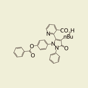 CCCCc1c(-c2ncccc2C(=O)O)n(-c2ccc(OC(=O)c3ccccc3)cc2)n(-c2ccccc2)c1=O